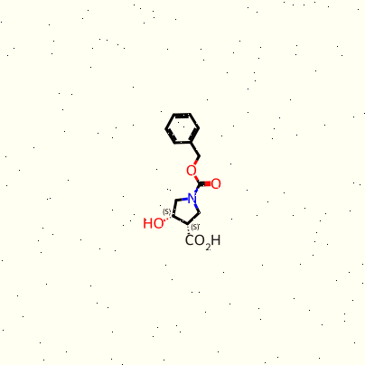 O=C(O)[C@H]1CN(C(=O)OCc2ccccc2)C[C@H]1O